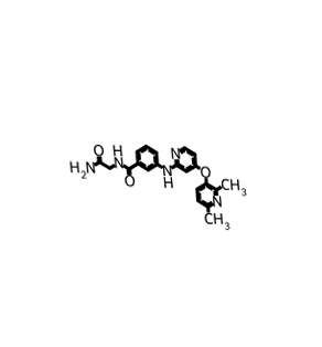 Cc1ccc(Oc2ccnc(Nc3cccc(C(=O)NCC(N)=O)c3)c2)c(C)n1